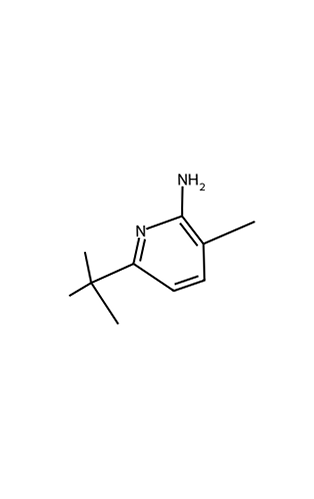 Cc1ccc(C(C)(C)C)nc1N